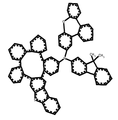 CC1(C)c2ccccc2-c2ccc(N(c3ccc4c(c3)-c3ccccc3-c3ccccc3O4)c3ccc4c(c3)c3ccccc3c3ccccc3c3ccccc3c3cc5sc6ccccc6c5cc43)cc21